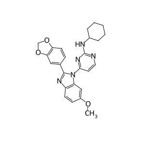 COc1ccc2nc(-c3ccc4c(c3)OCO4)n(-c3ccnc(NC4CCCCC4)n3)c2c1